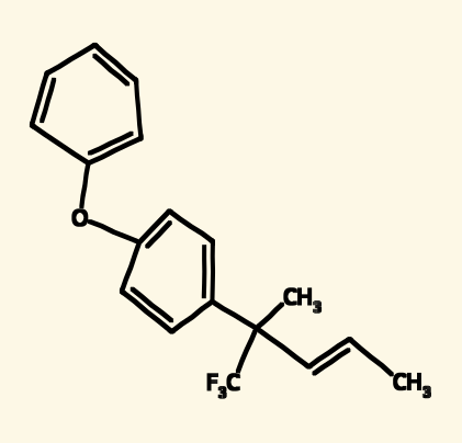 CC=CC(C)(c1ccc(Oc2ccccc2)cc1)C(F)(F)F